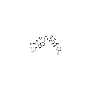 C=C/C(=C\C)c1oc2ccc(-c3cc(C(=O)NC4(c5nnc(-c6cccc(Cl)c6)[nH]5)CC4)ccc3C)cc2c1C(=O)NC